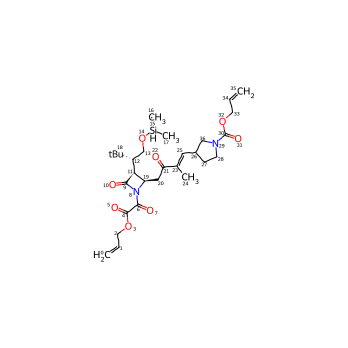 C=CCOC(=O)C(=O)N1C(=O)[C@@H]([C@@H](CO[SiH](C)C)C(C)(C)C)[C@H]1CC(=O)C(C)=CC1CCN(C(=O)OCC=C)C1